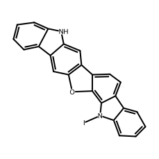 In1c2ccccc2c2ccc3c4cc5[nH]c6ccccc6c5cc4oc3c21